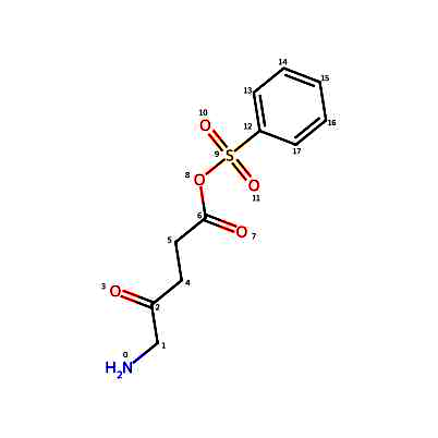 NCC(=O)CCC(=O)OS(=O)(=O)c1ccccc1